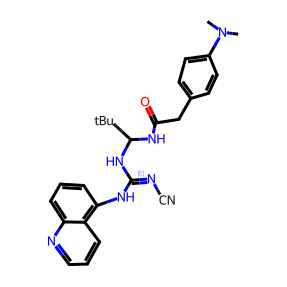 CN(C)c1ccc(CC(=O)NC(N/C(=N/C#N)Nc2cccc3ncccc23)C(C)(C)C)cc1